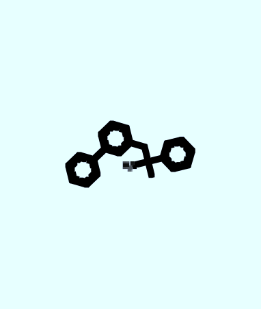 CC(N)(Cc1cccc(-c2ccccc2)c1)c1ccccc1